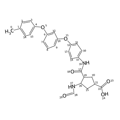 Cc1ccc(Oc2cccc(Oc3ccc(NC(=O)C4CC(C(=O)O)CC4NC=O)cc3)c2)cc1